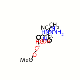 CC[C@H](Nc1nc(N)nc(C)c1C#N)C1=Cc2cccc(C#CCOCCOCCOC)c2S(O)(O)N1c1ccccc1